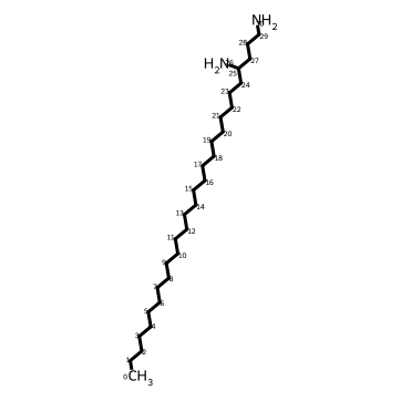 CCCCCCCCCCCCCCCCCCCCCCCCCC(N)CCCN